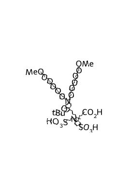 COCCOCCOCCOCCOCCOCCN(CCOCCOCCOCCOCCOCCOC)c1ccc2c(c1)OC(C(C)(C)C)C=C2/C=C/C=C1\N(CCCS(=O)(=O)O)c2ccc(S(=O)(=O)O)cc2C1(C)CCCC(=O)O